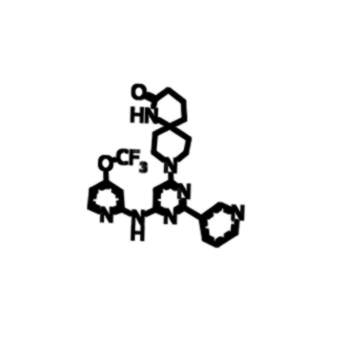 O=C1CCCC2(CCN(c3cc(Nc4cc(OC(F)(F)F)ccn4)nc(-c4cccnc4)n3)CC2)N1